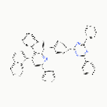 c1ccc(-c2cc(-c3cccc4ccccc34)c3c(n2)c(-c2ccc(-c4nc(-c5ccccc5)nc(-c5ccccc5)n4)cc2)cc2ccccc23)cc1